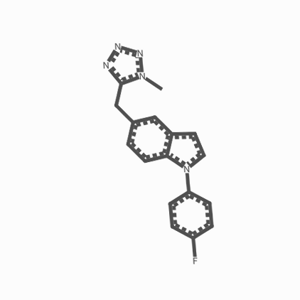 Cn1nnnc1Cc1ccc2c(ccn2-c2ccc(F)cc2)c1